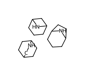 C1CC2CC(C1)N2.C1CC2CCC(C1)N2.C1CC2CCC1CN2